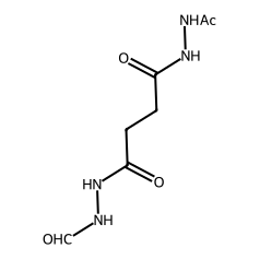 CC(=O)NNC(=O)CCC(=O)NNC=O